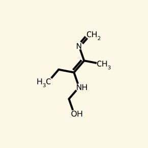 C=N/C(C)=C(\CC)NCO